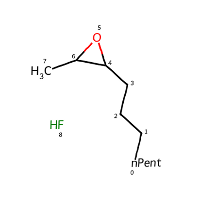 CCCCCCCCC1OC1C.F